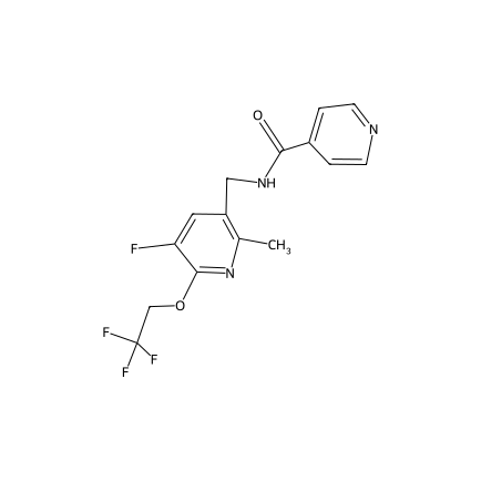 Cc1nc(OCC(F)(F)F)c(F)cc1CNC(=O)c1ccncc1